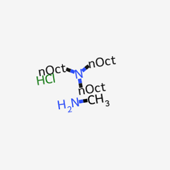 CCCCCCCCN(CCCCCCCC)CCCCCCCC.CN.Cl